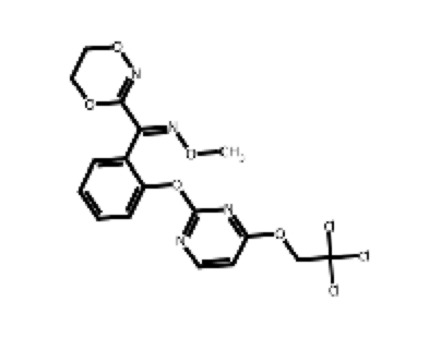 CON=C(C1=NOCCO1)c1ccccc1Oc1nccc(OCC(Cl)(Cl)Cl)n1